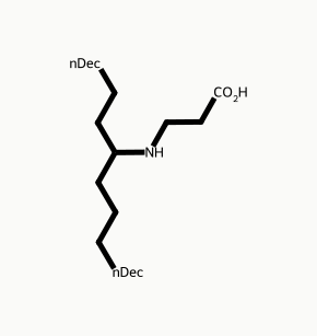 CCCCCCCCCCCCCC(CCCCCCCCCCCC)NCCC(=O)O